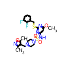 COc1cc(NS(=O)(=O)N2CCN(Cc3c(C)noc3C)CC2)nc(SCc2cccc(F)c2F)n1